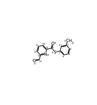 Cc1cccc(SC(=O)c2cccc(C=O)n2)c1